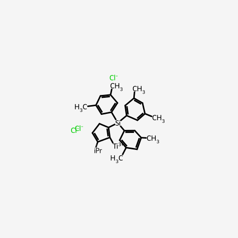 Cc1cc(C)cc([Si](C2=[C]([Ti+3])C(C(C)C)=CC2)(c2cc(C)cc(C)c2)c2cc(C)cc(C)c2)c1.[Cl-].[Cl-].[Cl-]